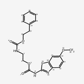 O=C(NCCOC(=O)Nc1nc2ccc(OC(F)(F)F)cc2s1)OCCc1ccccc1